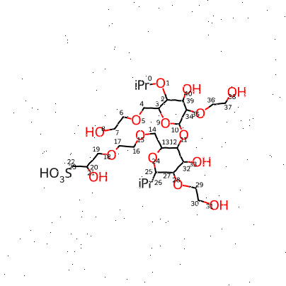 CC(C)OC1C(COCCO)OC(OC2C(COCCOCC(O)CS(=O)(=O)O)OC(C(C)C)C(OCCO)C2O)C(OCCO)C1O